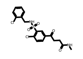 CNC(=O)CCC(=O)c1ccc(Cl)c(S(=O)(=O)NCc2ccccc2Cl)c1